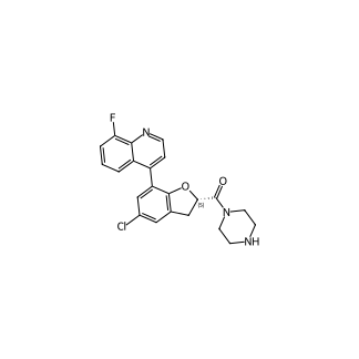 O=C([C@@H]1Cc2cc(Cl)cc(-c3ccnc4c(F)cccc34)c2O1)N1CCNCC1